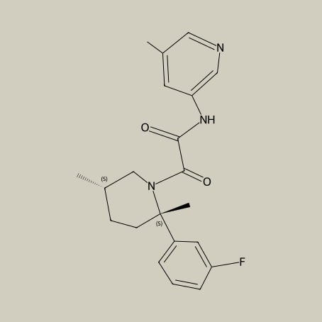 Cc1cncc(NC(=O)C(=O)N2C[C@@H](C)CC[C@@]2(C)c2cccc(F)c2)c1